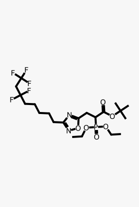 CCOP(=O)(OCC)C(Cc1nc(CCCCCC(F)(F)CC(F)(F)F)no1)C(=O)OC(C)(C)C